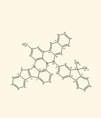 Cc1cc2c3c(c1)-n1c4sc5ccccc5c4c4cccc(c41)B3N(c1ccc3c(c1)C(C)(C)c1ccccc1-3)c1cc3ccccc3cc1-2